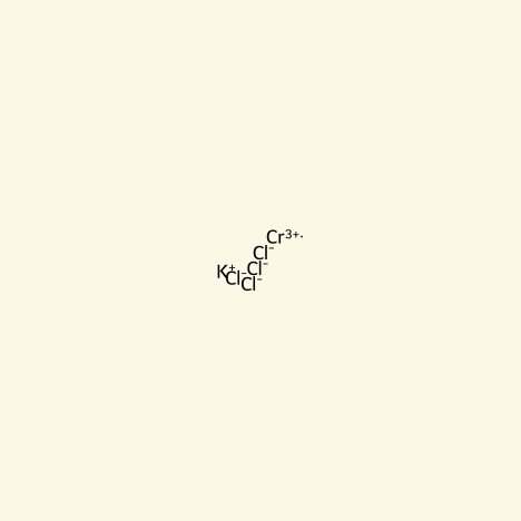 [Cl-].[Cl-].[Cl-].[Cl-].[Cr+3].[K+]